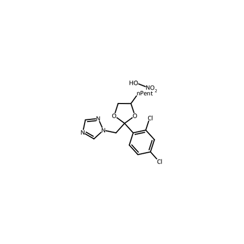 CCCCCC1COC(Cn2cncn2)(c2ccc(Cl)cc2Cl)O1.O=[N+]([O-])O